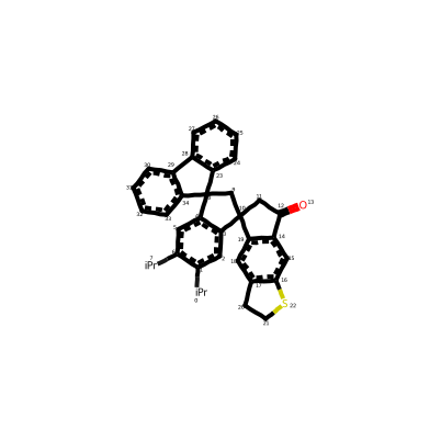 CC(C)c1cc2c(cc1C(C)C)C1(CC23CC(=O)c2cc4c(cc23)CCS4)c2ccccc2-c2ccccc21